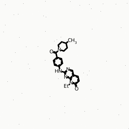 CCn1c(=O)ccc2cnc(Nc3ccc(C(=O)N4CCC(C)CC4)cc3)nc21